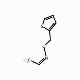 C/C=N\OCc1cccs1